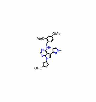 COc1ccc(CNc2ncnc3c2c(-c2ccn(C)n2)cn3C2CCC(C=O)C2)c(OC)c1